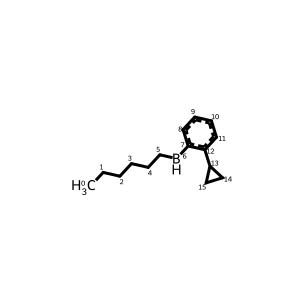 CCCCCCBc1ccccc1C1CC1